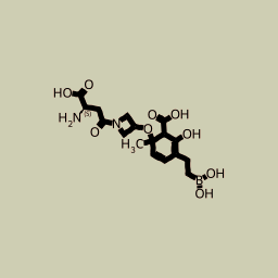 CC1(OC2CN(C(=O)C[C@H](N)C(=O)O)C2)C=CC(CCB(O)O)=C(O)C1C(=O)O